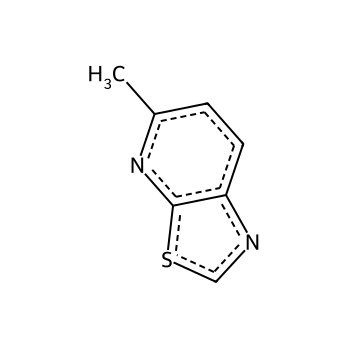 Cc1ccc2ncsc2n1